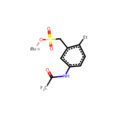 CCc1ccc(NC(=O)C(F)(F)F)cc1CS(=O)(=O)O[C@@H](C)CC